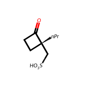 CCC[C@@]1(CS(=O)(=O)O)CCC1=O